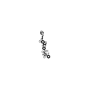 COc1cc2c(Oc3ccc(NC(=O)c4nn(-c5ccccc5F)c(=O)n4C)cc3F)ccnc2cc1OCCCN1CCOCC1